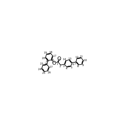 O=C(Cc1ccc(-c2ccccc2)cc1)Oc1ccccc1-c1ccccc1